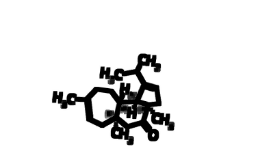 CC1=CC[C@]2(C)CC(=O)[C@]3(C)CC=C(C(C)C)[C@@H]3[C@H]2CC1